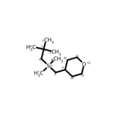 CC(C)(C)C[Si](C)(C)CC1CCOCC1